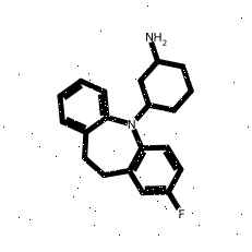 NC1CCCC(N2c3ccccc3CCc3cc(F)ccc32)C1